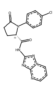 O=C(Nc1nc2ncccn2n1)[C@@H]1CCC(=O)N1c1ccc(Cl)cc1